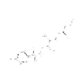 CCCC(=O)OCC(O)C(O)CNS(=O)(=O)c1ccc(C)cc1